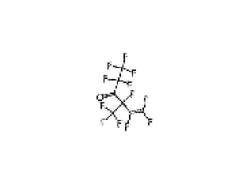 O=C(C(F)(F)C(F)(F)F)C(F)(C(F)=C(F)F)C(F)(F)F